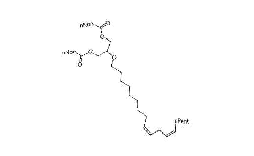 CCCCC/C=C\C/C=C\CCCCCCCCOC(COC(=O)CCCCCCCCC)COC(=O)CCCCCCCCC